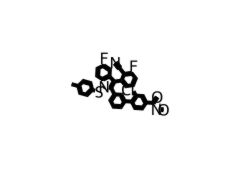 Cc1ccc(Sn2c(-c3cccc(-c4ccc(C(=O)N=O)cc4Cl)c3)c(-c3cccc(F)c3C#N)c3cc(F)ccc32)cc1